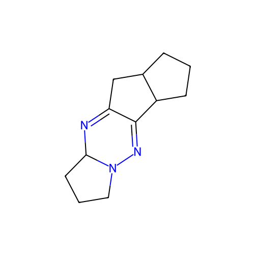 C1CC2CC3=NC4CCCN4N=C3C2C1